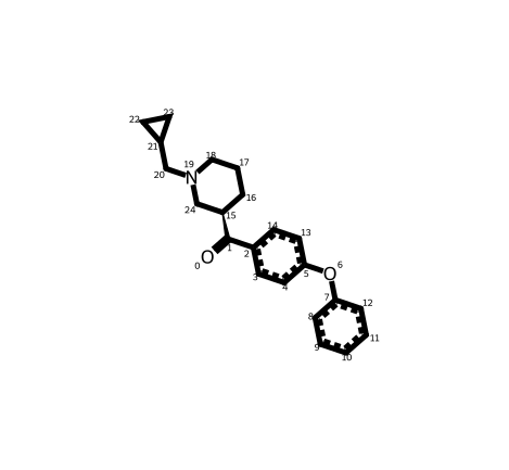 O=C(c1ccc(Oc2ccccc2)cc1)[C@@H]1CCCN(CC2CC2)C1